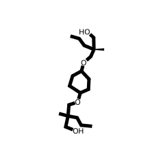 CCCC(C)(CO)COC1CCC(OC[C@@](C)(CO)CCC)CC1